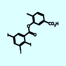 Cc1ccc(C(=O)O)cc1OC(=O)c1cc(I)cc(I)c1I